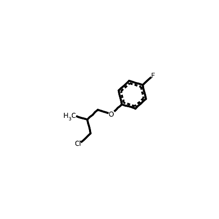 CC(CCl)COc1ccc(F)cc1